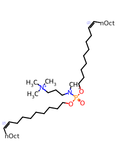 CCCCCCCC/C=C\CCCCCCCCOP(=O)(OCCCCCCCC/C=C\CCCCCCCC)N(C)CCC[N+](C)(C)C